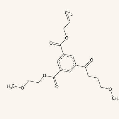 C=CCOC(=O)c1cc(C(=O)CCCOC)cc(C(=O)OCCOC)c1